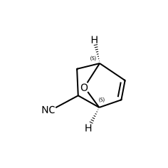 N#CC1C[C@H]2C=C[C@@H]1O2